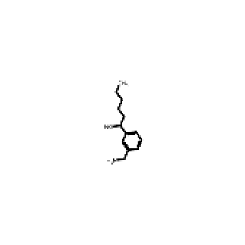 CCCCCC(O)c1cccc(CN)c1